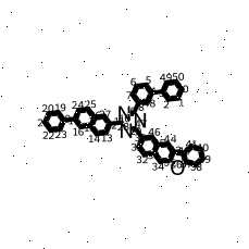 c1ccc(-c2cccc(-c3nc(-c4ccc5cc(-c6ccccc6)ccc5c4)nc(-c4ccc5cc6oc7ccccc7c6cc5c4)n3)c2)cc1